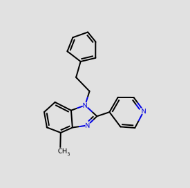 Cc1cccc2c1nc(-c1ccncc1)n2CCc1ccccc1